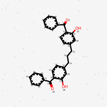 O=C(c1ccccc1)c1ccc(C[CH]Cc2ccc(C(=O)c3ccccc3)c(O)c2)cc1O